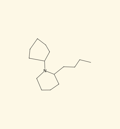 CCCCC1CCCCN1C1CCCCC1